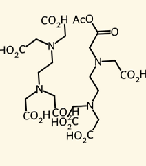 CC(=O)OC(=O)CN(CCN(CC(=O)O)CC(=O)O)CC(=O)O.O=C(O)CN(CCN(CC(=O)O)CC(=O)O)CC(=O)O